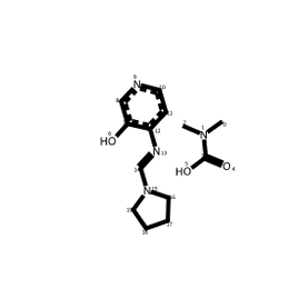 CN(C)C(=O)O.Oc1cnccc1/N=C/N1CCCC1